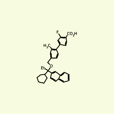 CCC(OCc1ccc(-c2ccc(C(=O)O)c(F)c2)c(C)c1)(c1ccc2ccccc2c1)C1CCCCC1